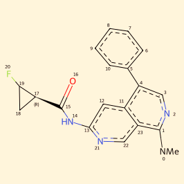 CNc1ncc(-c2ccccc2)c2cc(NC(=O)[C@H]3CC3F)ncc12